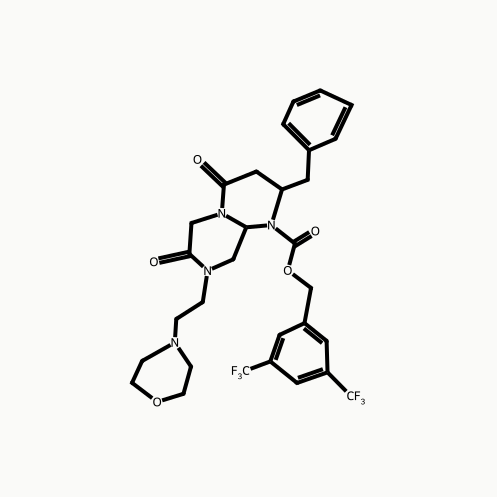 O=C1CN2C(=O)CC(Cc3ccccc3)N(C(=O)OCc3cc(C(F)(F)F)cc(C(F)(F)F)c3)C2CN1CCN1CCOCC1